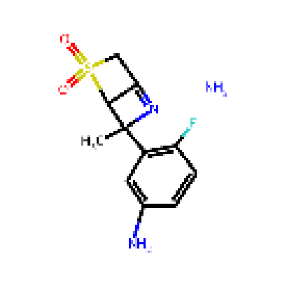 CC1(c2cc(N)ccc2F)N=C2CS(=O)(=O)C21.N